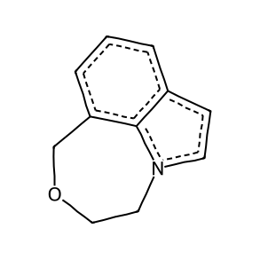 c1cc2c3c(c1)ccn3CCOC2